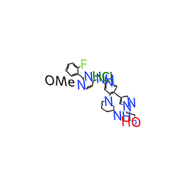 COc1cccc(F)c1-c1nccc(Nc2cc(N3CCC[C@H](N)C3)c(-c3cnn(CCO)c3)cn2)n1.Cl